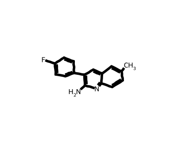 Cc1ccc2nc(N)c(-c3ccc(F)cc3)cc2c1